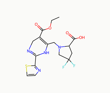 CCOC(=O)C1=C(CN2CC(F)(F)CC2C(=O)O)NC(c2nccs2)=NC1